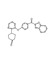 O=C1CCC(c2nccnc2Oc2ccc(C(=O)c3nc4ccccc4s3)cc2)CC1